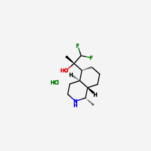 C[C@@H]1NCC[C@@H]2[C@@H]1CCC[C@H]2[C@](C)(O)C(F)F.Cl